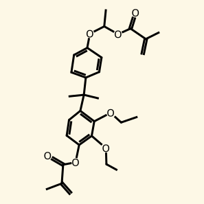 C=C(C)C(=O)Oc1ccc(C(C)(C)c2ccc(OC(C)OC(=O)C(=C)C)cc2)c(OCC)c1OCC